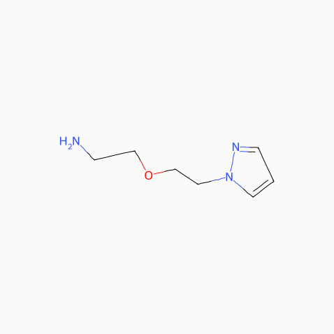 NCCOCCn1cccn1